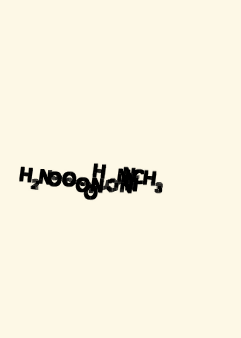 Cc1nnc(-c2ccc(CNC(=O)COCCOCCOCN)cc2)nn1